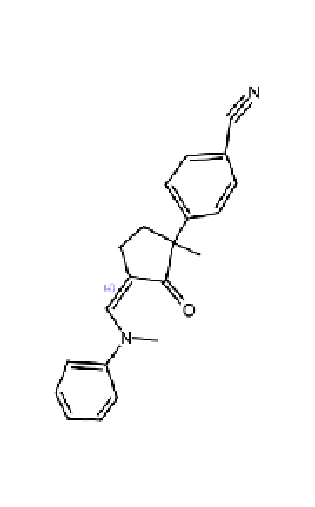 CN(/C=C1/CCC(C)(c2ccc(C#N)cc2)C1=O)c1ccccc1